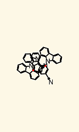 N#Cc1ccc(-c2ccccc2-n2c3ccccc3c3cccc(C#N)c32)c(-n2c3ccccc3c3cccc(-n4c5ccccc5c5ccccc54)c32)c1